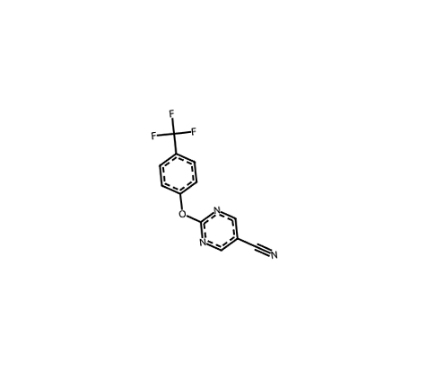 N#Cc1cnc(Oc2ccc(C(F)(F)F)cc2)nc1